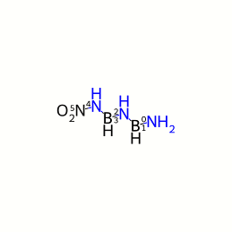 NBNBN[N+](=O)[O-]